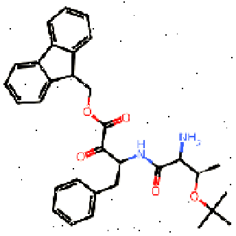 C[C@@H](OC(C)(C)C)[C@H](N)C(=O)N[C@@H](Cc1ccccc1)C(=O)C(=O)OCC1c2ccccc2-c2ccccc21